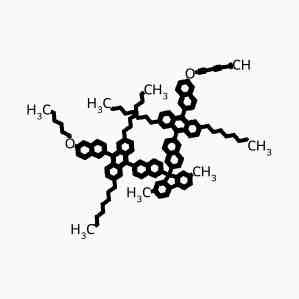 C#CC#CC#COc1ccc2cc(-c3c4ccc(CCCCCCCC)cc4c(-c4ccc5cc(C6(c7ccc8cc(-c9c%10ccc(CCCCCCCC)cc%10c(-c%10ccc%11cc(OCCCCCC)ccc%11c%10)c%10ccc(CCCCCCCC)cc9%10)ccc8c7)c7cc(C)ccc7-c7ccc(C)cc76)ccc5c4)c4ccc(CCCCCCCC)cc34)ccc2c1